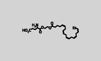 CC/C=C\C/C=C\C/C=C\C/C=C\C/C=C\CCCC(=O)OCCOC(=O)C(N)CCC(=O)O